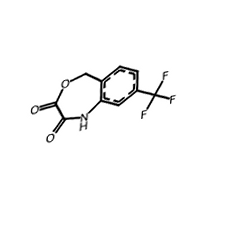 O=C1Nc2cc(C(F)(F)F)ccc2COC1=O